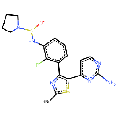 CC(C)(C)c1nc(-c2cccc(N[S+]([O-])N3CCCC3)c2F)c(-c2ccnc(N)n2)s1